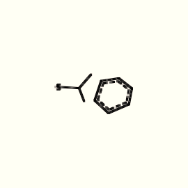 CC(C)[S].c1ccccc1